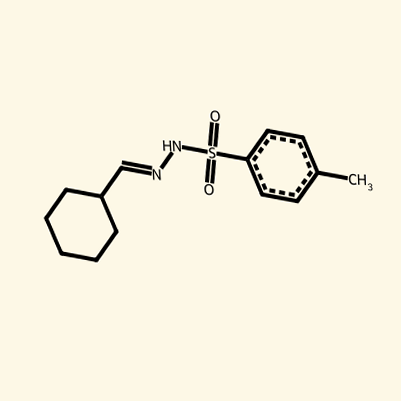 Cc1ccc(S(=O)(=O)NN=CC2CCCCC2)cc1